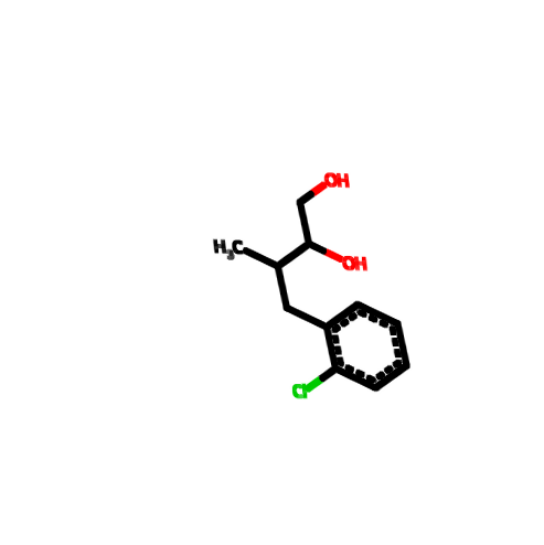 CC(Cc1ccccc1Cl)C(O)CO